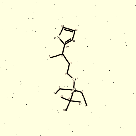 CC[Si](CC)(OCCC(C)c1cccs1)C(C)(C)C